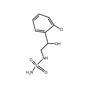 NS(=O)(=O)NCC(O)c1ccccc1Cl